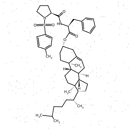 Cc1ccc(S(=O)(=O)N2CCC[C@H]2C(=O)N[C@@H](Cc2ccccc2)C(=O)O[C@H]2CC[C@@]3(C)C(=CC[C@H]4[C@@H]5CC[C@H]([C@H](C)CCCC(C)C)[C@@]5(C)CC[C@@H]43)C2)cc1